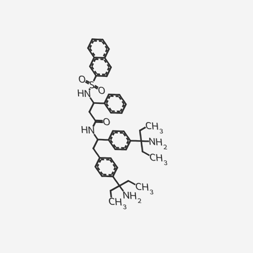 CCC(N)(CC)c1ccc(CC(NC(=O)CC(NS(=O)(=O)c2ccc3ccccc3c2)c2ccccc2)c2ccc(C(N)(CC)CC)cc2)cc1